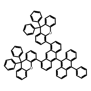 c1ccc(-c2c3ccccc3c(-c3c4cccc(-c5cccc6c5Oc5ccccc5C6(c5ccccc5)c5ccccc5)c4cc4c(-c5cccc6c5Oc5ccccc5C6(c5ccccc5)c5ccccc5)cccc34)c3ccccc23)cc1